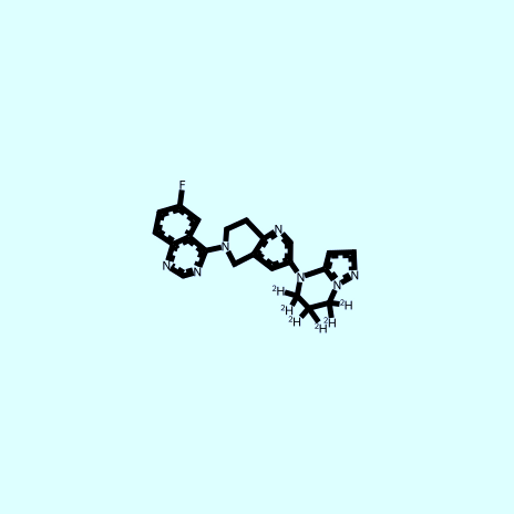 [2H]C1([2H])N(c2cnc3c(c2)CN(c2ncnc4ccc(F)cc24)CC3)c2ccnn2C([2H])([2H])C1([2H])[2H]